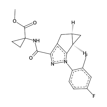 COC(=O)C1(NC(=O)c2nn(-c3ccc(F)cc3F)c3c2C[C@H]2C[C@@H]32)CC1